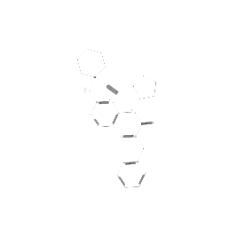 C#CC1(Nc2ncc3cc(Cc4ccccc4)c(=O)n(C4CCCC4)c3n2)CCCCC1